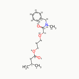 CC(C)CC(=O)OCCCOCC(=O)N(C)Cc1ccccc1